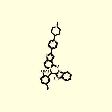 COc1ccc(F)cc1C(c1nc2ccccc2[nH]1)n1ccc2sc(-c3ccc(C4CCN(C)CC4)cc3)cc2c1=O